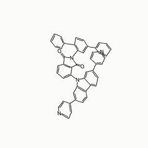 O=C1c2cccc(-n3c4cc(-c5ccncc5)ccc4c4ccc(-c5ccncc5)cc43)c2C(=O)N1c1cc(-c2ccccc2)ccc1-c1ccccc1